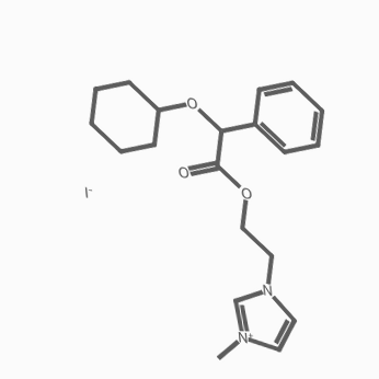 C[n+]1ccn(CCOC(=O)C(OC2CCCCC2)c2ccccc2)c1.[I-]